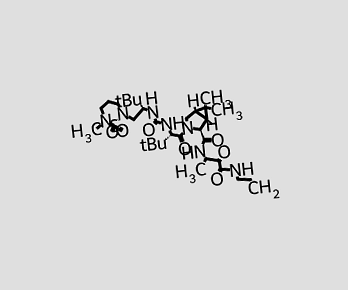 C=CCNC(=O)C(=O)C(C)NC(=O)[C@@H]1[C@@H]2[C@H](CN1C(=O)[C@@H](NC(=O)N[C@H](CN1CCCN(C)S1(=O)=O)C(C)(C)C)C(C)(C)C)C2(C)C